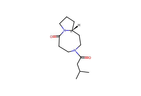 CC(C)CC(=O)N1CCC(=O)N2CCC[C@@H]2CC1